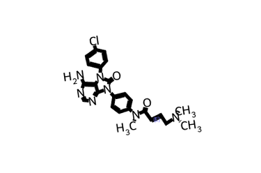 CN(C)C/C=C/C(=O)N(C)c1ccc(-n2c(=O)n(-c3ccc(Cl)cc3)c3c(N)ncnc32)cc1